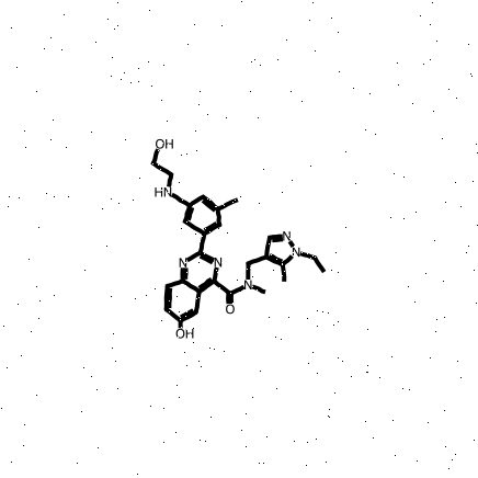 CCn1ncc(CN(C)C(=O)c2nc(-c3cc(C)cc(NCCO)c3)nc3ccc(O)cc23)c1C